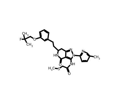 CSCC(=O)Nc1c2c(nn1-c1ccc(C)cn1)CC(CCc1cccc(OCC(C)(C)F)c1)NC2=O